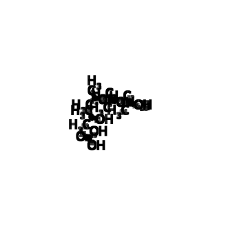 CC(C)O.CC(C)O.CC(C)O.CC(C)O.O=C(O)O.[Ti]